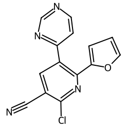 N#Cc1cc(-c2ccncn2)c(-c2ccco2)nc1Cl